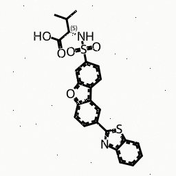 CC(C)[C@H](NS(=O)(=O)c1ccc2c(c1)oc1ccc(-c3nc4ccccc4s3)cc12)C(=O)O